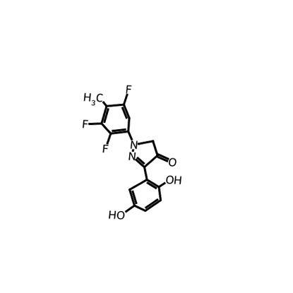 Cc1c(F)cc(N2CC(=O)C(c3cc(O)ccc3O)=N2)c(F)c1F